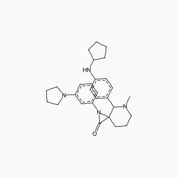 CN1CCCC2(C(=O)N2c2cccc(N3CCCC3)c2)C1c1ccc(NC2CCCC2)cc1